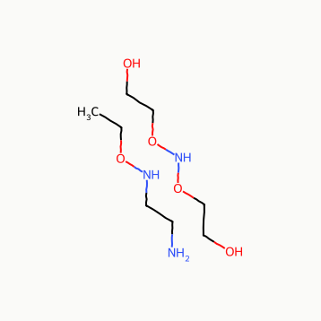 CCONCCN.OCCONOCCO